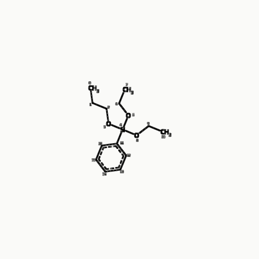 CCCO[Si](OCC)(OCC)c1ccccc1